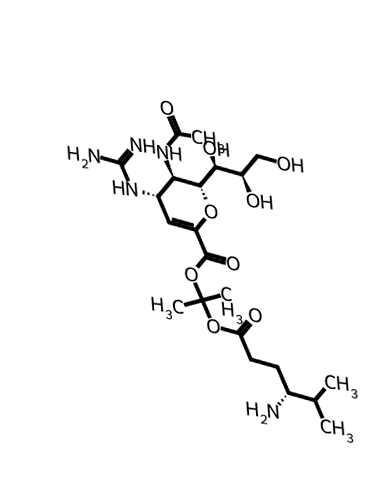 CC(=O)N[C@H]1[C@H]([C@@H](O)[C@H](O)CO)OC(C(=O)OC(C)(C)OC(=O)CC[C@@H](N)C(C)C)=C[C@@H]1NC(=N)N